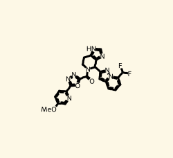 COc1ccc(-c2nnc(C(=O)N3CCc4[nH]cnc4C3c3cc4cccc(C(F)F)n4n3)o2)nc1